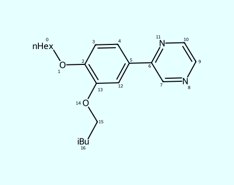 CCCCCCOc1ccc(-c2cnccn2)cc1OCC(C)CC